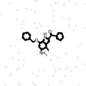 Nc1cc(OCc2ccccc2)c2[nH]c(C(=O)c3ccccc3)cc2c1I